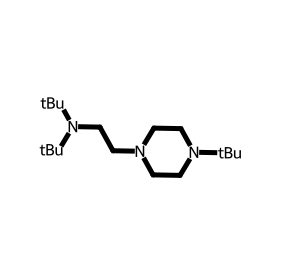 CC(C)(C)N1CCN(CCN(C(C)(C)C)C(C)(C)C)CC1